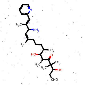 C/C(=C/C(N)/C(C)=C/c1ccccn1)CCCC(C)C(O)C(C)C(=O)C(C)(C)C(O)CC=O